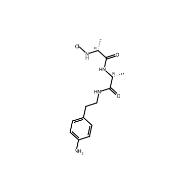 C[C@@H](NCl)C(=O)N[C@H](C)C(=O)NCCc1ccc(N)cc1